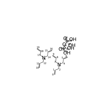 C=CCN(CC=C)CC=C.C=CCN(CC=C)CC=C.O=P(O)(O)OP(=O)(O)O